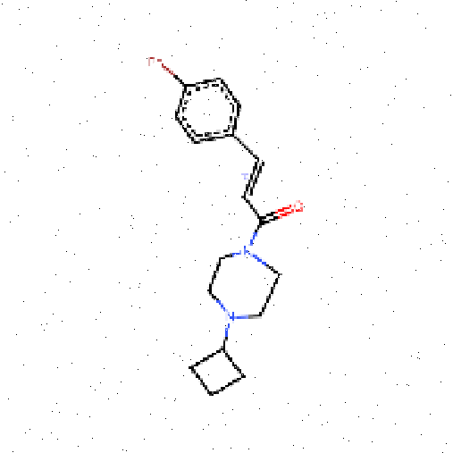 O=C(/C=C/c1ccc(Br)cc1)N1CCN(C2CCC2)CC1